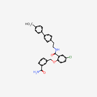 NC(=O)c1cccc(COc2ccc(Cl)cc2C(=O)NCCc2ccc(-c3ccc(C(=O)O)cc3)cc2)c1